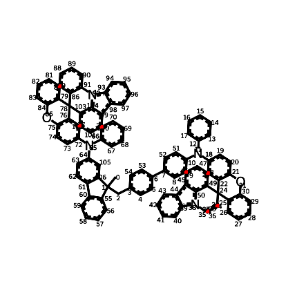 CC1(Cc2ccc(-c3ccc(N(c4ccccc4)c4ccc5c(c4)C4(c6ccccc6O5)c5ccccc5-n5c6ccccc6c6cccc4c65)cc3)cc2)c2ccccc2-c2ccc(N(c3ccccc3)c3ccc4c(c3)C3(c5ccccc5O4)c4ccccc4-n4c5ccccc5c5cccc3c54)cc21